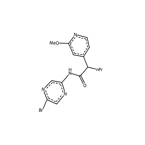 CCCC(C(=O)Nc1cnc(Br)cn1)c1ccnc(OC)c1